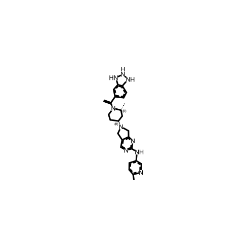 C=C(c1ccc2c(c1)NNN2)N1CC[C@@H](N2Cc3cnc(Nc4ccc(C)nc4)nc3C2)C[C@H]1C